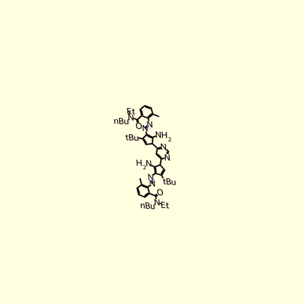 CCCCN(CC)C(=O)c1cccc(C)c1/N=N/C1=C(N)C(c2cc(C3C=C(C(C)(C)C)C(/N=N/c4c(C)cccc4C(=O)N(CC)CCCC)=C3N)ncn2)C=C1C(C)(C)C